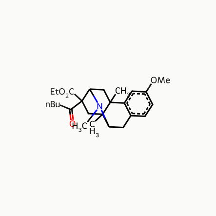 CCCCC(=O)C1(C(=O)OCC)CC2(C)C3Cc4ccc(OC)cc4C2(C)CC1N3C